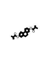 C=C(C)C(=O)Oc1ccc2c(c1)CCc1cc(OC(=O)C(=C)C)ccc1-2